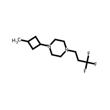 CC1CC(N2CCN(CCC(F)(F)F)CC2)C1